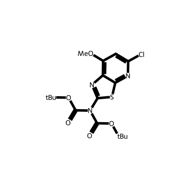 COc1cc(Cl)nc2sc(N(C(=O)OC(C)(C)C)C(=O)OC(C)(C)C)nc12